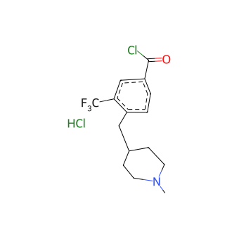 CN1CCC(Cc2ccc(C(=O)Cl)cc2C(F)(F)F)CC1.Cl